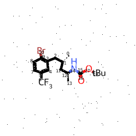 C[C@@H](Cc1cc(C(F)(F)F)ccc1Br)C[C@H](C)NC(=O)OC(C)(C)C